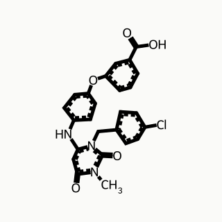 Cn1c(=O)cc(Nc2ccc(Oc3cccc(C(=O)O)c3)cc2)n(Cc2ccc(Cl)cc2)c1=O